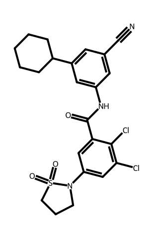 N#Cc1cc(NC(=O)c2cc(N3CCCS3(=O)=O)cc(Cl)c2Cl)cc(C2CCCCC2)c1